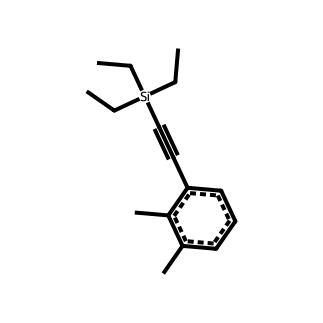 CC[Si](C#Cc1cccc(C)c1C)(CC)CC